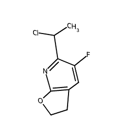 CC(Cl)c1nc2c(cc1F)CCO2